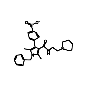 Cc1c(C(=O)NCCN2CCCCC2)c(-c2ccc([N+](=O)[O-])cc2)c(C)n1Cc1ccccc1